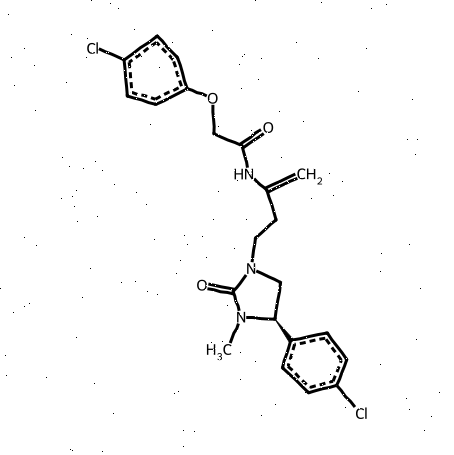 C=C(CCN1C[C@@H](c2ccc(Cl)cc2)N(C)C1=O)NC(=O)COc1ccc(Cl)cc1